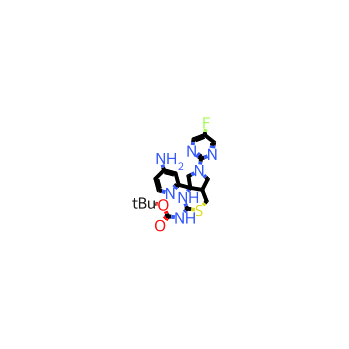 CC(C)(C)OC(=O)NC1NC2(c3cc(N)ccn3)CN(c3ncc(F)cn3)CC2CS1